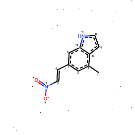 [CH2]c1cc(/C=C/[N+](=O)[O-])cc2[nH]ccc12